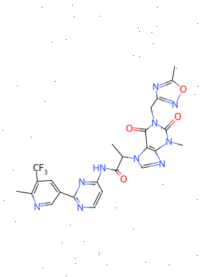 Cc1nc(Cn2c(=O)c3c(ncn3C(C)C(=O)Nc3ccnc(-c4cnc(C)c(C(F)(F)F)c4)n3)n(C)c2=O)no1